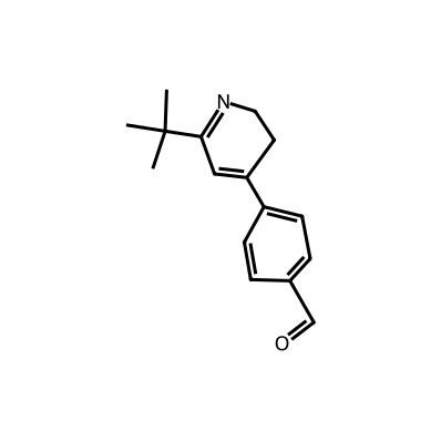 CC(C)(C)C1=NCCC(c2ccc(C=O)cc2)=C1